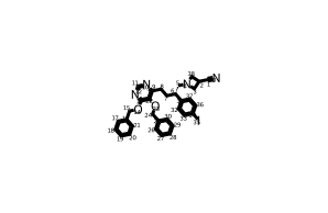 N#CC1CN(C[C@@H](CCc2ncnc(OCc3ccccc3)c2OCc2ccccc2)c2ccc(I)cc2)C1